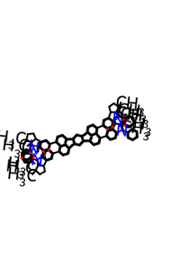 CC1(C)CCC2c3cc(-c4ccc5c6cc7c(cc6c6ccc(-c8ccc9c(c8)C8CCC(C)(C)C8(C)N9c8ccccc8)c4c56)c4ccc(-c5ccc6c(c5)C5CCC(C)(C)C5(C)N6c5ccccc5)c5c(-c6ccc8c(c6)C6CCC(C)(C)C6(C)N8c6ccccc6)ccc7c54)ccc3N(c3ccccc3)C21C